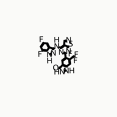 O=c1[nH][nH]c2cc(C(F)(F)F)c(-c3nc(Nc4n[nH]c5c(F)cc(F)cc45)c4cnsc4n3)cc12